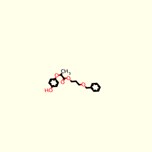 CC(Oc1ccc(O)cc1)C(=O)OCCCOCc1ccccc1